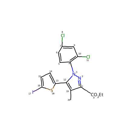 CCOC(=O)c1nn(-c2ccc(Cl)cc2Cl)c(-c2ccc(I)s2)c1C